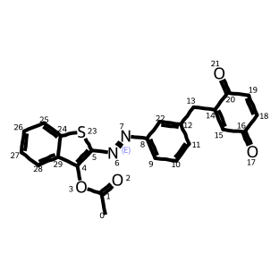 CC(=O)Oc1c(/N=N/c2cccc(CC3=CC(=O)C=CC3=O)c2)sc2ccccc12